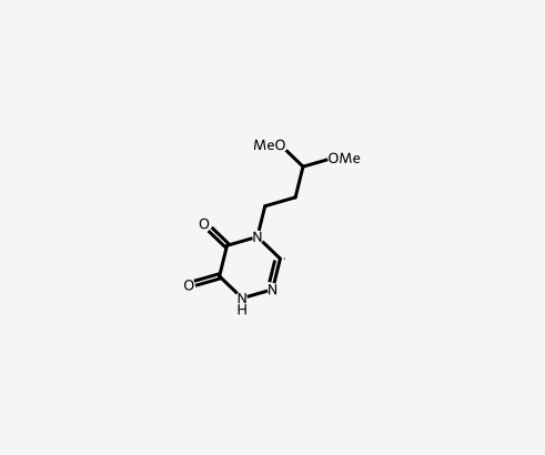 COC(CCn1[c]n[nH]c(=O)c1=O)OC